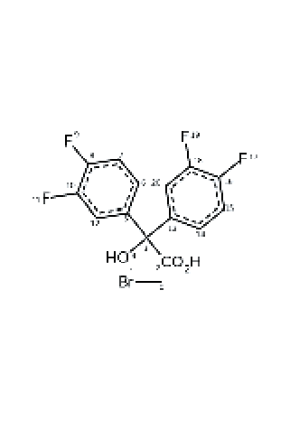 CBr.O=C(O)C(O)(c1ccc(F)c(F)c1)c1ccc(F)c(F)c1